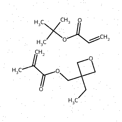 C=C(C)C(=O)OCC1(CC)COC1.C=CC(=O)OC(C)(C)C